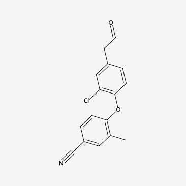 Cc1cc(C#N)ccc1Oc1ccc(CC=O)cc1Cl